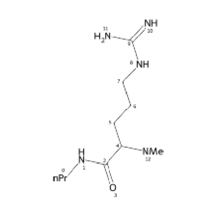 CCCNC(=O)C(CCCNC(=N)N)NC